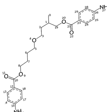 CC(CCOCCCCOC(=O)c1ccc(N)cc1)COC(=O)c1ccc(N)cc1